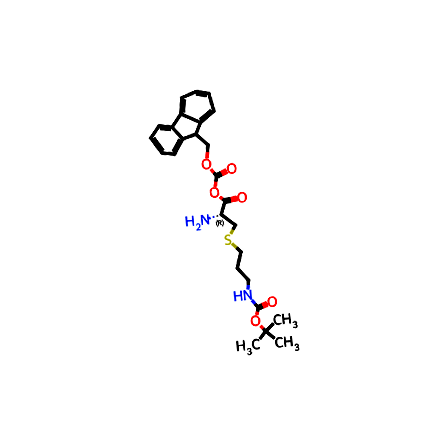 CC(C)(C)OC(=O)NCCCSC[C@H](N)C(=O)OC(=O)OCC1c2ccccc2-c2ccccc21